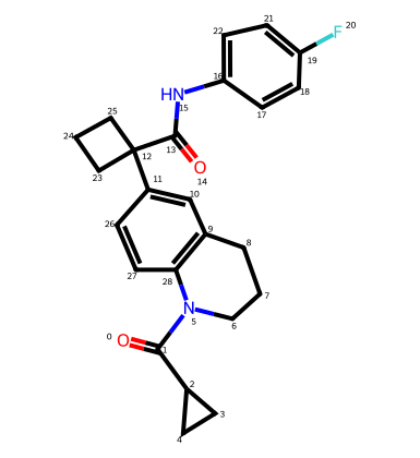 O=C(C1CC1)N1CCCc2cc(C3(C(=O)Nc4ccc(F)cc4)CCC3)ccc21